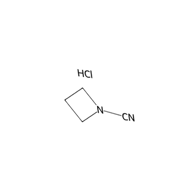 Cl.N#CN1CCC1